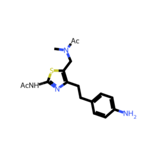 CC(=O)Nc1nc(CCc2ccc(N)cc2)c(CN(C)C(C)=O)s1